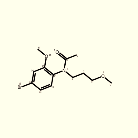 COCCCN(C(C)=O)c1ccc(Br)cc1OC